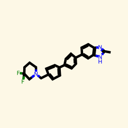 Cc1nc2ccc(-c3ccc(-c4ccc(CN5CCCC(F)(F)C5)cc4)cc3)cc2[nH]1